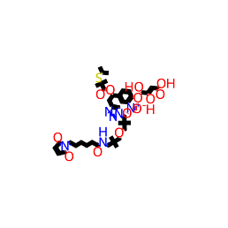 CC(C)SC(C)(C)C(=O)OC(Cc1cn(CC(C)(C)COCC(C)(C)CNC(=O)CCCCCN2C(=O)C=CC2=O)nn1)c1ccc(OC(O)/C(O)=C/C(=O)O)c([N+](=O)[O-])c1